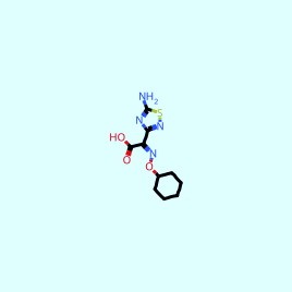 Nc1nc(C(=NOC2CCCCC2)C(=O)O)ns1